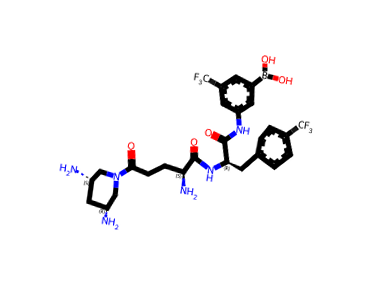 N[C@@H]1C[C@H](N)CN(C(=O)CC[C@H](N)C(=O)N[C@H](Cc2ccc(C(F)(F)F)cc2)C(=O)Nc2cc(B(O)O)cc(C(F)(F)F)c2)C1